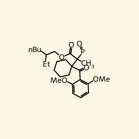 CCCCC(CC)COC(=O)C(C)(P=O)C1(C(=O)c2c(OC)cccc2OC)CCCCC1